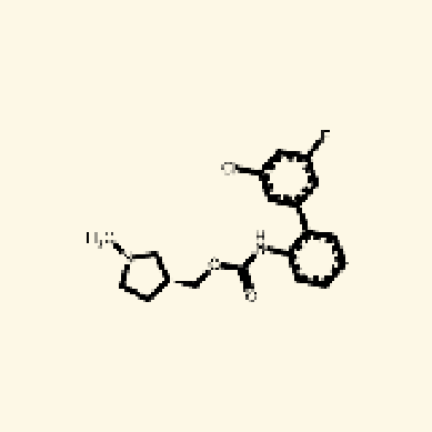 CN1CC[C@H](COC(=O)Nc2ccccc2-c2cc(F)cc(Cl)c2)C1